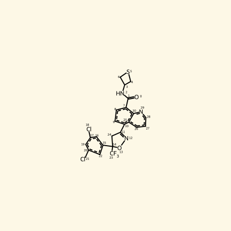 O=C(NC1CSC1)c1ccc(C2=NOC(c3cc(Cl)cc(Cl)c3)(C(F)(F)F)C2)c2cccnc12